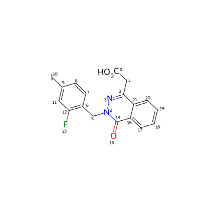 O=C(O)Cc1nn(Cc2ccc(I)cc2F)c(=O)c2ccccc12